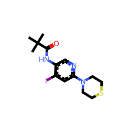 CC(C)(C)C(=O)Nc1cnc(N2CCSCC2)cc1I